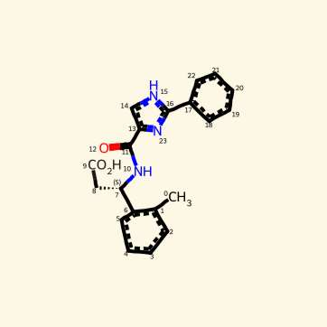 Cc1ccccc1[C@H](CC(=O)O)NC(=O)c1c[nH]c(-c2ccccc2)n1